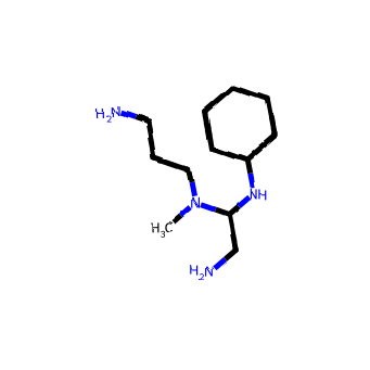 CN(CCCN)C(CN)NC1CCCCC1